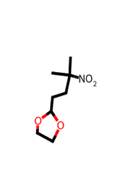 CC(C)(CCC1OCCO1)[N+](=O)[O-]